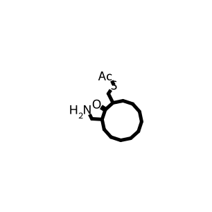 CC(=O)SCC1CCCCCCCCCC(CN)C1=O